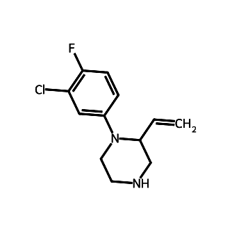 C=CC1CNCCN1c1ccc(F)c(Cl)c1